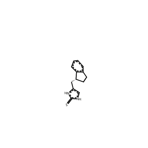 S=c1[nH]cc(C[C@H]2CCc3ccccc32)[nH]1